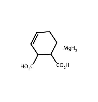 O=C(O)C1C=CCCC1C(=O)O.[MgH2]